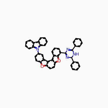 c1ccc(C2=NC(c3cccc4c3oc3ccc5oc6ccc(-n7c8ccccc8c8ccccc87)cc6c5c34)=NC(c3ccccc3)N2)cc1